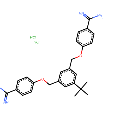 CC(C)(C)c1cc(COc2ccc(C(=N)N)cc2)cc(COc2ccc(C(=N)N)cc2)c1.Cl.Cl